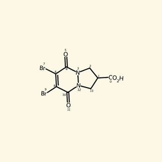 O=C(O)C1Cn2c(=O)c(Br)c(Br)c(=O)n2C1